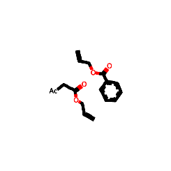 C=CCOC(=O)CC(C)=O.C=CCOC(=O)c1ccccc1